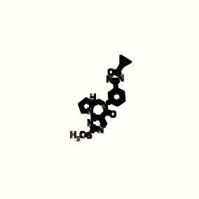 CSc1ncc2c(n1)N1CCC[C@H]1CN(c1cccc(-c3noc(C4CC4)n3)c1)C2=O